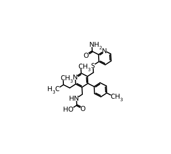 Cc1ccc(-c2c(CSc3cccnc3C(N)=O)c(C)nc(CC(C)C)c2CNC(=O)O)cc1